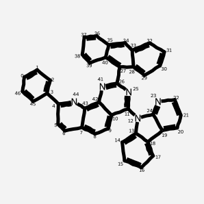 c1ccc(-c2ccc3ccc4c(-n5c6ccccc6c6cccnc65)nc(-c5c6ccccc6cc6ccccc56)nc4c3n2)cc1